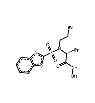 CC(C)CCN([C@@H](C(=O)NO)C(C)C)S(=O)(=O)c1nc2ccccc2s1